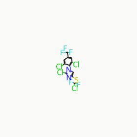 FC(F)(Cl)Sc1cn(-c2c(Cl)cc(C(F)(F)F)cc2Cl)c(Cl)n1